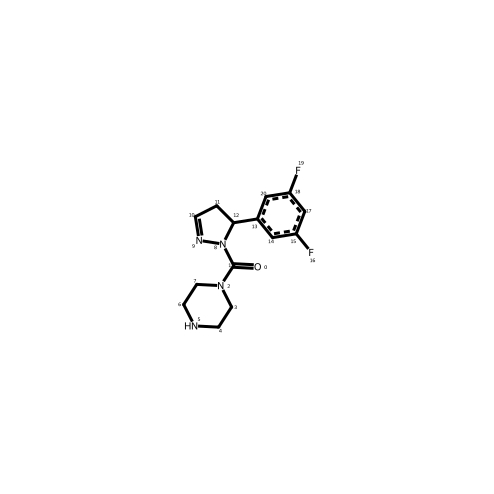 O=C(N1CCNCC1)N1N=CCC1c1cc(F)cc(F)c1